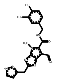 Cn1c(C(=O)NCc2ccc(O)c(N)c2)c(C=N)c2sc(Cc3cc[nH]n3)nc21